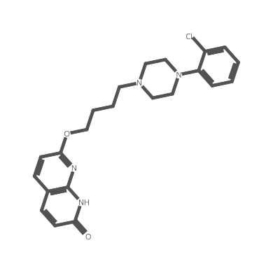 O=c1ccc2ccc(OCCCCN3CCN(c4ccccc4Cl)CC3)nc2[nH]1